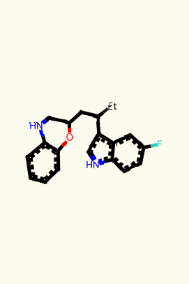 [CH2]CC(CC1CNc2ccccc2O1)c1c[nH]c2ccc(F)cc12